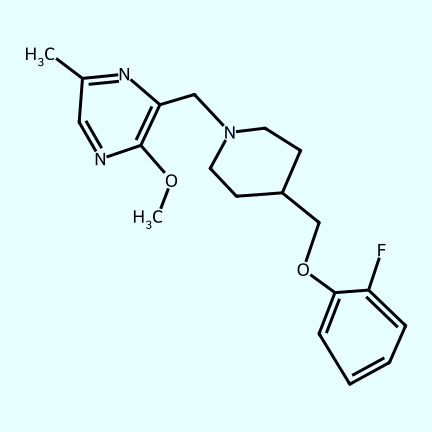 COc1ncc(C)nc1CN1CCC(COc2ccccc2F)CC1